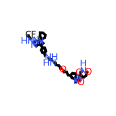 Cn1c(=O)n([C@H]2CCC(=O)NC2=O)c2ccc(CCCOCCCCNCCNCc3ccc(-c4cn(C5CCCCC5)c5nc(NCCC(F)(F)F)ncc45)cc3)cc21